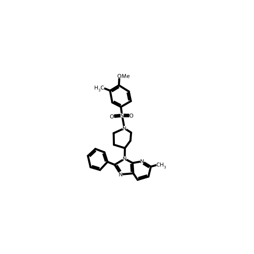 COc1ccc(S(=O)(=O)N2CCC(n3c(-c4ccccc4)nc4ccc(C)nc43)CC2)cc1C